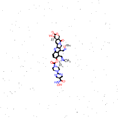 CC[C@@]1(O)C(=O)OCc2c1cc1n(c2=O)Cc2c-1nc1ccc(OC(=O)N3CCN(c4ncc(C(=O)NO)cn4)CC3)c(CN(C)C)c1c2/C=N\OC(C)(C)C